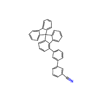 N#Cc1cccc(-c2cccc(-c3cccc4c3-c3ccccc3C43c4ccccc4-c4ccccc43)c2)c1